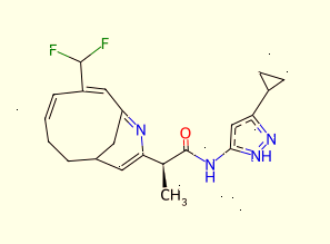 C[C@H](C(=O)Nc1cc(C2CC2)n[nH]1)C1=CC2CC/C=C\C(C(F)F)=C/C(=N1)C2